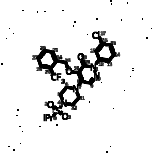 CC(C)S(=O)(=O)N1CCN(c2cnn(-c3cccc(Cl)c3)c(=O)c2OCc2ccccc2C(F)(F)F)CC1